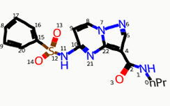 CCCNC(=O)c1cnn2ccc(NS(=O)(=O)c3ccccc3)nc12